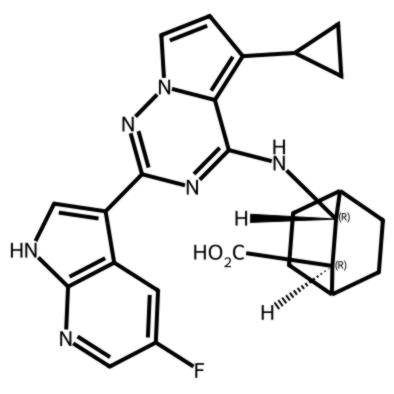 O=C(O)[C@@H]1C2CCC(CC2)[C@H]1Nc1nc(-c2c[nH]c3ncc(F)cc23)nn2ccc(C3CC3)c12